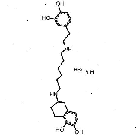 Br.Br.Oc1ccc(CCNCCCCCCNC2CCc3c(ccc(O)c3O)C2)cc1O